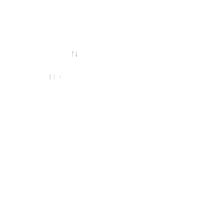 CC1=C(/C=C\N)/C(=C2\CCC3=C2CCC=C3)CC1